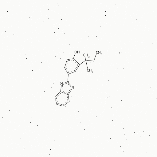 CCC(C)(C)c1cc(-n2nc3ccccc3n2)ccc1O